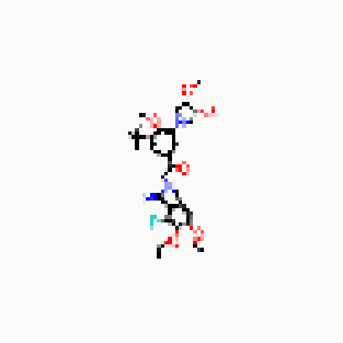 CCOc1cc2c(c(F)c1OCC)C(=N)N(CC(=O)c1cc(N3C[C@H](OC)[C@@H](OC)C3)c(OC)c(C(C)(C)C)c1)C2